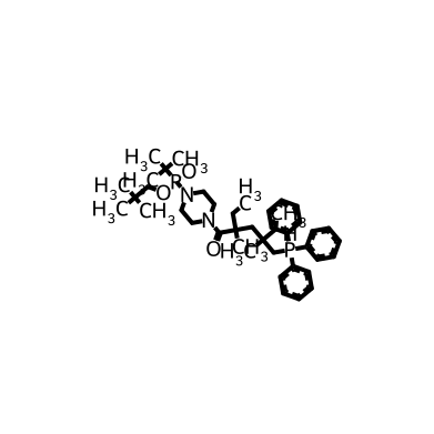 CCC(C)(CC(C)(CC)C(=O)N1CCN(P(=O)(OCC(C)(C)C)C(C)(C)C)CC1)C[PH](c1ccccc1)(c1ccccc1)c1ccccc1